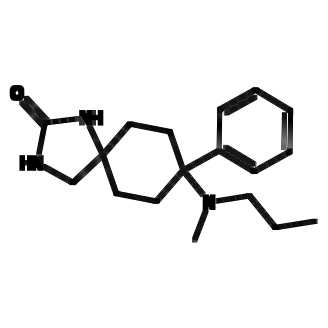 CCCN(C)C1(c2ccccc2)CCC2(CC1)CNC(=O)N2